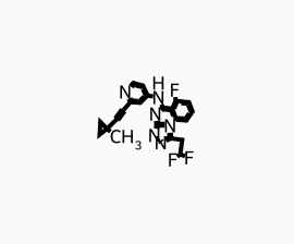 CC1(C#Cc2cc(Nc3nc4nnc(CC(F)F)n4c4cccc(F)c34)ccn2)CC1